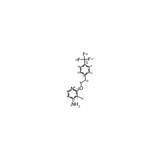 Cc1c(N)ccnc1OCCc1ccc(C(F)(F)F)cc1